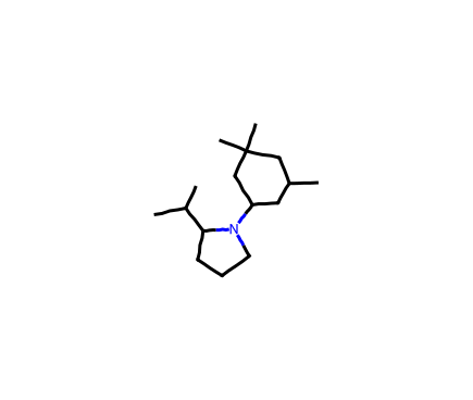 CC1CC(N2CCCC2C(C)C)CC(C)(C)C1